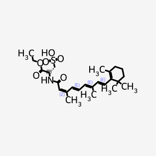 CCOC(=O)[C@H](CS(=O)(=O)O)NC(=O)\C=C(C)/C=C/C=C(C)/C=C/C1=C(C)CCCC1(C)C